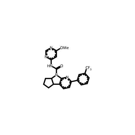 COc1cc(NC(=O)N2c3nc(-c4cccc(C(F)(F)F)c4)ccc3C3CCCC32)ncn1